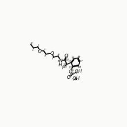 CCCOCCOCCNC(=O)C(F)c1ccccc1OP(=O)(O)O